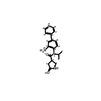 CC(C)N(C(=O)C1CNC(=O)C1)c1ccc(-c2ccncc2)cc1N